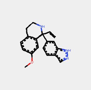 C=CC1(c2ccc3cn[nH]c3c2)NCCc2ccc(OC)cc21